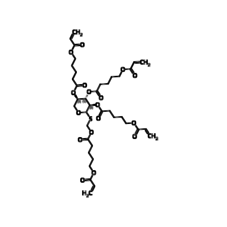 C=CC(=O)OCCCCC(=O)OCSC1OC[C@@H](OC(=O)CCCCOC(=O)C=C)[C@H](OC(=O)CCCCOC(=O)C=C)[C@H]1OC(=O)CCCCOC(=O)C=C